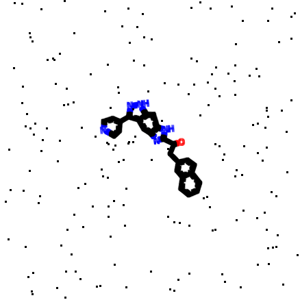 O=C(Cc1ccc2ccccc2c1)c1nc2cc3c(-c4ccncc4)n[nH]c3cc2[nH]1